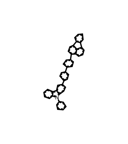 c1ccc(-n2c3ccccc3c3cc(-c4ccc(-c5ccc(-c6ccc7c8c(cccc68)-c6ccccc6-7)cc5)cc4)ccc32)cc1